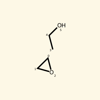 C1CO1.CCO